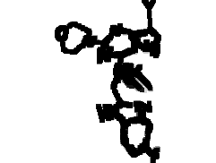 Fc1ccc2[nH]c(CNc3nc(N4CCOCC4)nc4c(C5CC5)cnn34)nc2c1